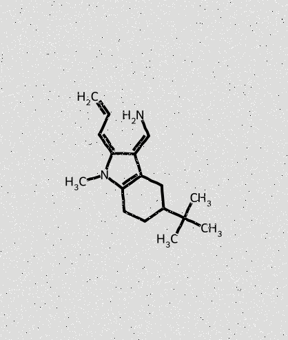 C=C/C=c1\c(=C/N)c2c(n1C)CCC(C(C)(C)C)C2